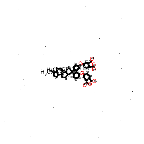 CCC1CCC2C3CCC4CC(c5ccc(Oc6ccc7c(c6)C(=O)OC7=O)cc5)(c5cccc(Oc6ccc7c(c6)C(=O)OC7=O)c5)CCC4(C)C3CCC12C